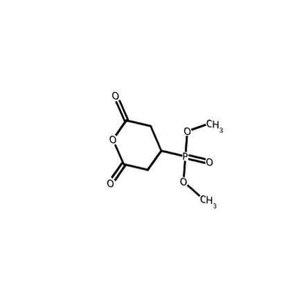 COP(=O)(OC)C1CC(=O)OC(=O)C1